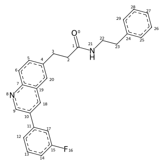 O=C(CCc1ccc2ncc(-c3cccc(F)c3)cc2c1)NCCc1ccccc1